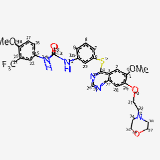 COc1cc2c(Sc3cccc(NC(=O)Nc4ccc(OC)c(C(F)(F)F)c4)c3)ncnc2cc1OCCN1CCOCC1